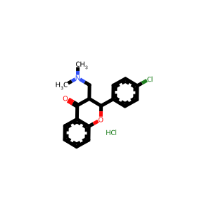 CN(C)CC1C(=O)c2ccccc2OC1c1ccc(Cl)cc1.Cl